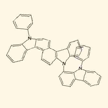 c1ccc(-n2c3ccccc3c3c4ccc5c(c4ccc32)c2ccccc2n5-c2cccc3c4ccccc4n(-c4ccccc4)c23)cc1